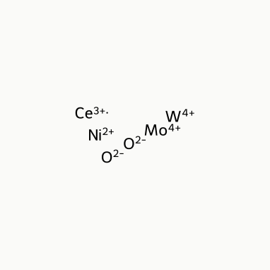 [Ce+3].[Mo+4].[Ni+2].[O-2].[O-2].[W+4]